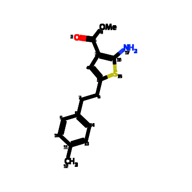 COC(=O)c1cc(CCc2ccc(C)cc2)sc1N